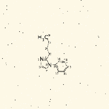 CCCCc1nccn1-c1ccccc1